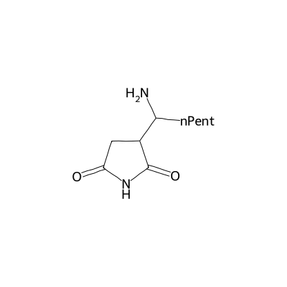 CCCCCC(N)C1CC(=O)NC1=O